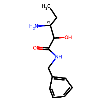 CC[C@H](N)C(O)C(=O)NCc1ccccc1